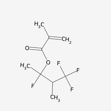 C=C(C)C(=O)OC(C)(F)C(C)C(F)(F)F